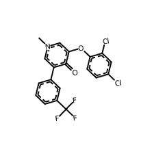 Cn1cc(Oc2ccc(Cl)cc2Cl)c(=O)c(-c2cccc(C(F)(F)F)c2)c1